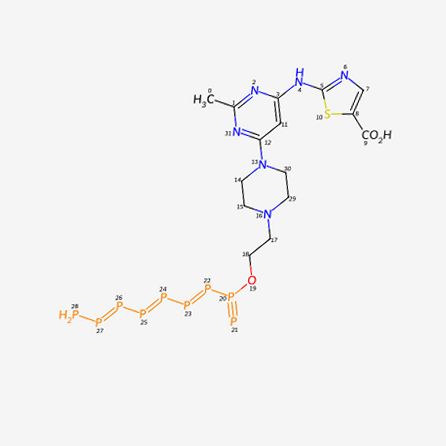 Cc1nc(Nc2ncc(C(=O)O)s2)cc(N2CCN(CCOP(#P)P=PP=PP=PP)CC2)n1